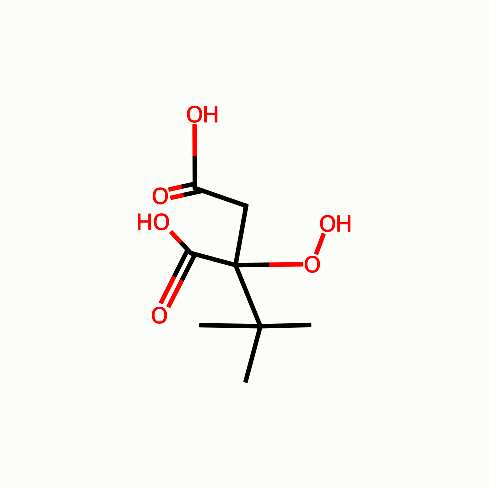 CC(C)(C)C(CC(=O)O)(OO)C(=O)O